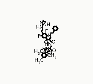 Cc1cc(C)c(S(=O)(=O)NC(CNC(=O)c2cn(CCc3ccccc3)c3c(F)c(CCNc4ncc[nH]4)c(F)cc3c2=O)C(=O)O)c(C)c1